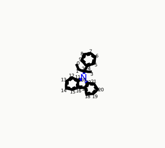 CCC(C)(c1ccccc1)n1c2ccccc2c2ccccc21